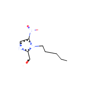 CCCCCn1c([N+](=O)[O-])cnc1C=O